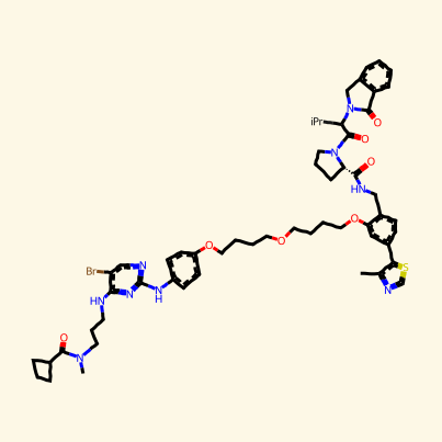 Cc1ncsc1-c1ccc(CNC(=O)[C@@H]2CCCN2C(=O)C(C(C)C)N2Cc3ccccc3C2=O)c(OCCCCOCCCCOc2ccc(Nc3ncc(Br)c(NCCCN(C)C(=O)C4CCC4)n3)cc2)c1